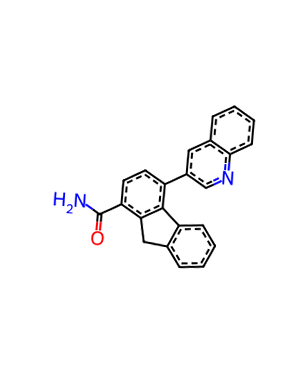 NC(=O)c1ccc(-c2cnc3ccccc3c2)c2c1Cc1ccccc1-2